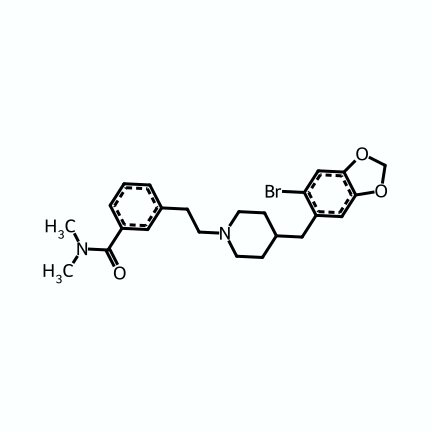 CN(C)C(=O)c1cccc(CCN2CCC(Cc3cc4c(cc3Br)OCO4)CC2)c1